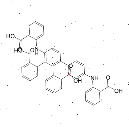 O=C(O)c1ccccc1Nc1ccc(-c2ccc(Nc3ccccc3C(=O)O)c(-c3ccccc3C(=O)O)c2-c2ccccc2C(=O)O)cc1